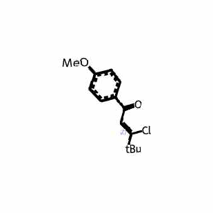 COc1ccc(C(=O)/C=C(\Cl)C(C)(C)C)cc1